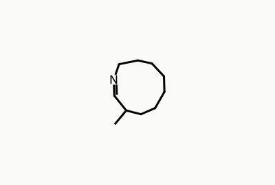 CC1/C=N\CCCCCCC1